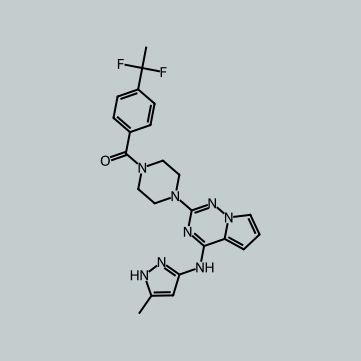 Cc1cc(Nc2nc(N3CCN(C(=O)c4ccc(C(C)(F)F)cc4)CC3)nn3cccc23)n[nH]1